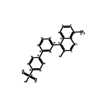 Cc1cnc2c(C(F)(F)F)cccc2c1-c1cccc(-c2ccc(S(C)(=O)=O)cc2)c1